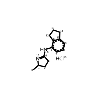 CC1CCC(Nc2cccc3c2CCC3)=N1.Cl